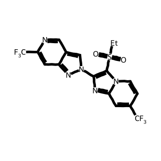 CCS(=O)(=O)c1c(-n2cc3cnc(C(F)(F)F)cc3n2)nc2cc(C(F)(F)F)ccn12